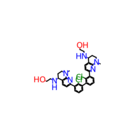 CN1CC[C@H](NCCO)c2ccc(-c3cccc(-c4cccc(-c5ccc6c(n5)N(C)CC[C@@H]6NCCO)c4Cl)c3Cl)nc21